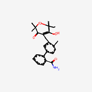 Cc1ccc(-c2ccccc2C(N)=O)cc1C1=C(O)C(C)(C)OC(C)(C)C1=O